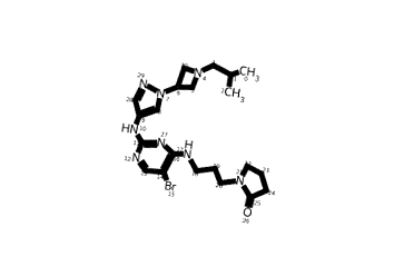 CC(C)CN1CC(n2cc(Nc3ncc(Br)c(NCCCN4CCCC4=O)n3)cn2)C1